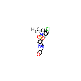 CC(C)CN(c1cc(Cl)ccc1F)S(=O)(=O)c1ccc2nn(CC3CCOCC3)cc2c1